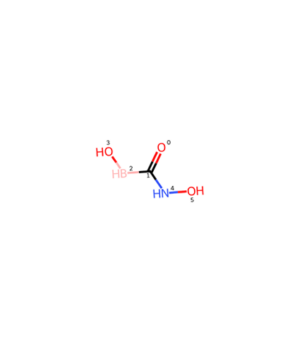 O=C(BO)NO